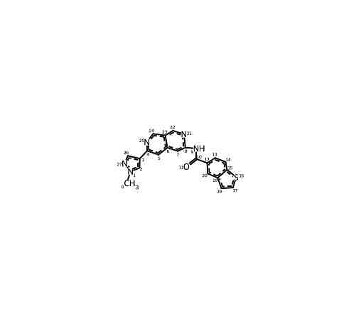 Cn1cc(-c2cc3cc(NC(=O)c4ccc5sccc5c4)ncc3cn2)cn1